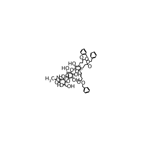 CC1=N[C@H]2[C@@H](O1)O[C@H](CO)[C@@H](O[C@@H]1O[C@H](CO)[C@@H](O[C@@H]3O[C@H](CCCC(=O)OCc4ccccc4)[C@@H](CCC(=O)OCc4ccccc4)[C@H](CCC(=O)OCc4ccccc4)[C@@H]3O)[C@H](O)[C@@H]1O)[C@@H]2O